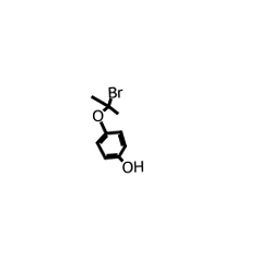 CC(C)(Br)Oc1ccc(O)cc1